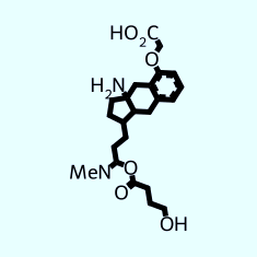 CNC(CCC1CCC2(N)Cc3c(cccc3OCC(=O)O)CC12)OC(=O)CCCO